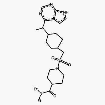 CCN(CC)C(=O)C1CCN(S(=O)(=O)CC2CCC(N(C)c3ncnc4[nH]ccc34)CC2)CC1